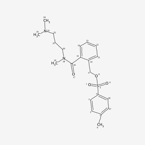 Cc1ccc(S(=O)(=O)OCc2ccccc2C(=O)N(C)CCCN(C)C)cc1